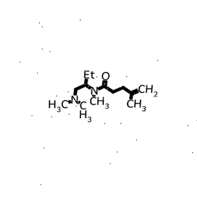 C=C(C)CCC(=O)N(C)C(CC)CN(C)C